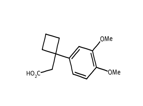 COc1ccc(C2(CC(=O)O)CCC2)cc1OC